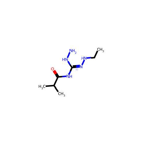 CCN/N=C(\NN)NC(=O)C(C)C